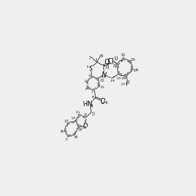 CC1(C)Sc2ccc(C(=O)NCc3cc4ccccc4o3)cc2N(Cc2c(F)cccc2Cl)C1=O